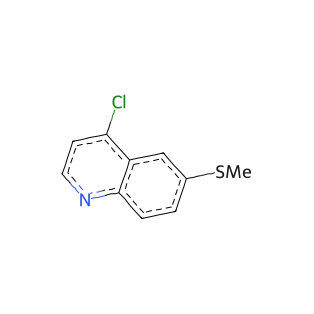 CSc1ccc2nccc(Cl)c2c1